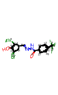 O=C(N/N=C/c1cc(Br)c(O)c(Br)c1)c1ccc(C(F)(F)F)cc1